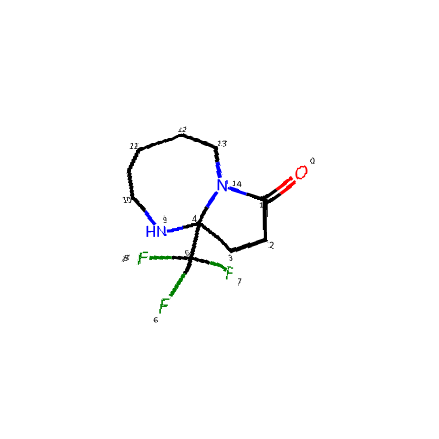 O=C1CCC2(C(F)(F)F)NCCCCN12